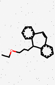 CCOCCCC1c2ccccc2C=Cc2ccccc21